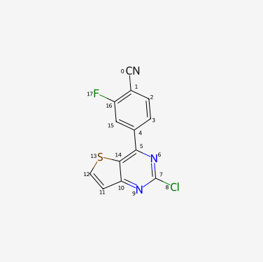 N#Cc1ccc(-c2nc(Cl)nc3ccsc23)cc1F